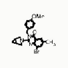 COc1ccc(Cn2c(N3CC4CC4C3)nc3c(Br)cc(C)cc3c2=O)cc1